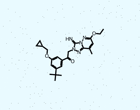 CCOc1cc(C)c2nn(CC(=O)c3cc(OCC4CC4)cc(C(C)(C)C)c3)c(=N)n2n1